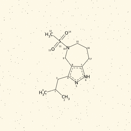 CC(C)Cc1n[nH]c2c1CN(S(C)(=O)=O)CCC2